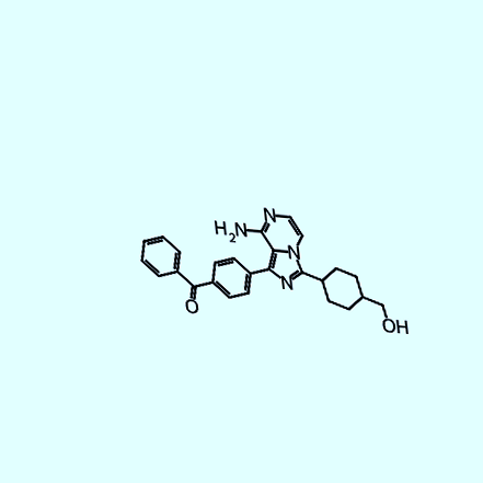 Nc1nccn2c(C3CCC(CO)CC3)nc(-c3ccc(C(=O)c4ccccc4)cc3)c12